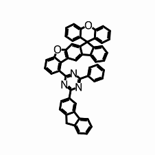 c1ccc(-c2nc(-c3ccc4c(c3)-c3ccccc3C4)nc(-c3cccc4oc5cc6c(cc5c34)-c3ccccc3C63c4ccccc4Oc4ccccc43)n2)cc1